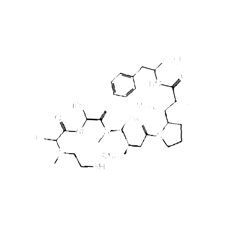 CC[C@H](C)[C@@H]([C@@H](CC(=O)N1CCCC1[C@H](OC)[C@@H](C)C(=O)NC(Cc1ccccc1)C(=O)O)OC)N(C)C(=O)C(NC(=O)C(C(C)C)N(C)CCS)C(C)C